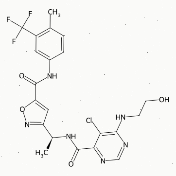 Cc1ccc(NC(=O)c2cc([C@H](C)NC(=O)c3ncnc(NCCO)c3Cl)no2)cc1C(F)(F)F